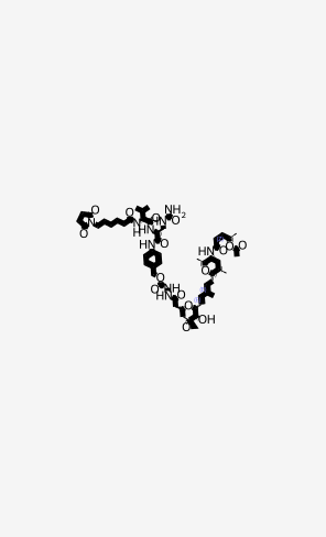 CC(=O)O[C@@H](C)/C=C\C(=O)N[C@@H]1C[C@H](C)[C@H](C/C=C(C)/C=C/[C@H]2O[C@H](CC(=O)NNC(=O)OCc3ccc(NC(=O)[C@H](CNC(N)=O)NC(=O)[C@@H](NC(=O)CCCCCN4C(=O)CCC4=O)C(C)C)cc3)C[C@@]3(CO3)[C@@H]2O)O[C@@H]1C